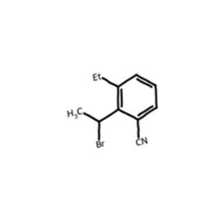 CCc1cccc(C#N)c1C(C)Br